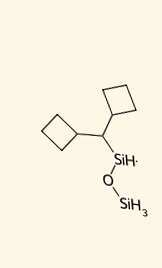 [SiH3]O[SiH]C(C1CCC1)C1CCC1